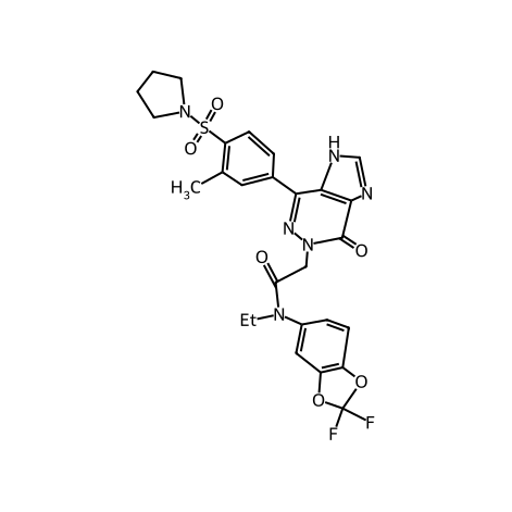 CCN(C(=O)Cn1nc(-c2ccc(S(=O)(=O)N3CCCC3)c(C)c2)c2[nH]cnc2c1=O)c1ccc2c(c1)OC(F)(F)O2